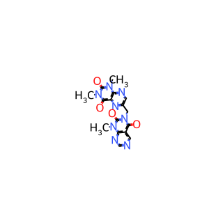 Cn1c(=O)c2nc(Cn3c(=O)c4cncnc4n(C)c3=O)cnc2n(C)c1=O